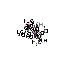 COc1ccc([C@@]2(OC(=O)/C=C\C(=O)O[C@]3(c4ccc(OC)cc4)Sc4cc(Cl)ccc4N(CCN(C)C)C(=O)[C@@H]3OC(C)=O)Sc3cc(Cl)ccc3N(CCN(C)C)C(=O)[C@@H]2OC(C)=O)cc1